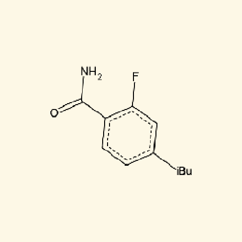 CCC(C)c1ccc(C(N)=O)c(F)c1